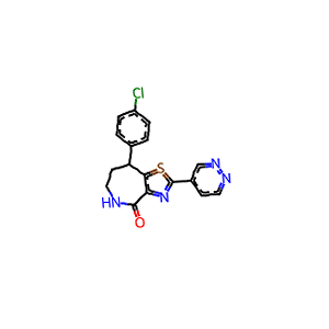 O=C1NCCC(c2ccc(Cl)cc2)c2sc(-c3ccnnc3)nc21